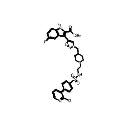 CC(C)COC(=O)c1[nH]c2ccc(F)cc2c1-c1cn(CC2CCN(CCNS(=O)(=O)c3ccc(-c4cccnc4Cl)cc3)CC2)nn1